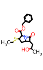 CCSC1CC2C(CC(C)O)C(=O)N2C1C(=O)OCc1ccccc1